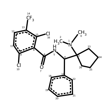 CN(C)C1(C(NC(=O)c2c(Cl)ccc(C(F)(F)F)c2Cl)c2ccccc2)CCCC1